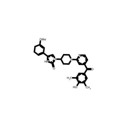 COC1=CC(c2cn(C3CCN(c4cc(C(=O)c5cc(C)c(O)c(C)c5)ccn4)CC3)c(=O)[nH]2)=CCC1